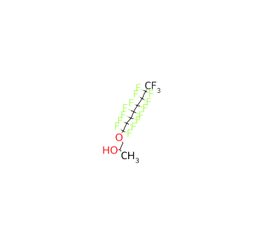 CC(O)COC(F)(F)C(F)(F)C(F)(F)C(F)(F)C(F)(F)C(F)(F)C(F)(F)C(F)(F)F